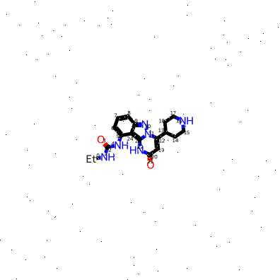 CCNC(=O)Nc1cccc2nn3c(C4CCNCC4)cc(=O)[nH]c3c12